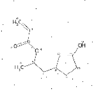 C=CC(=O)OC(C)CC1CCC(O)C1